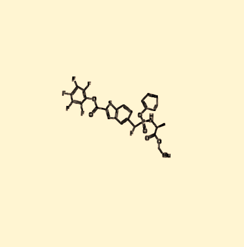 C[C@H](N[P@](=O)(Oc1ccccc1)C(F)c1ccc2sc(C(=O)Oc3c(F)c(F)c(F)c(F)c3F)cc2c1)C(=O)OCC(C)(C)C